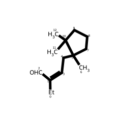 CCC(C=O)=CCC1(C)CCCC1(C)C